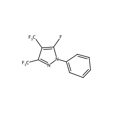 Fc1c(C(F)(F)F)c(C(F)(F)F)nn1-c1ccccc1